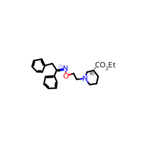 CCOC(=O)[C@@H]1CCCN(CCO/N=C(/Cc2ccccc2)c2ccccc2)C1